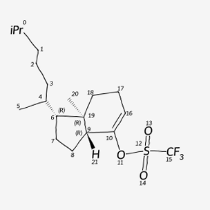 CC(C)CCCC(C)[C@H]1CC[C@H]2C(OS(=O)(=O)C(F)(F)F)=CCC[C@]12C